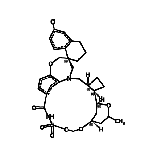 CC1C[C@@H]2C[C@H](O1)[C@@H]1CC[C@H]1CN1C[C@@]3(CCCc4cc(Cl)ccc43)COc3ccc(cc31)C(=O)NS(=O)(=O)CCO2